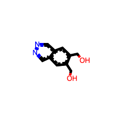 OCc1cc2cnncc2cc1CO